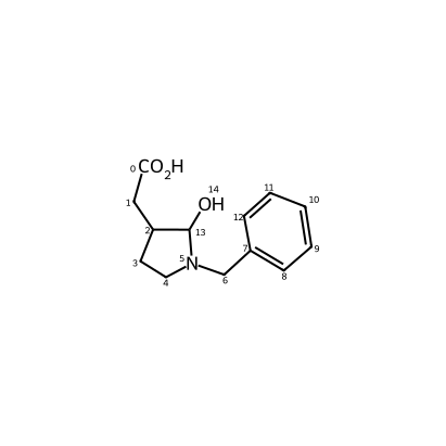 O=C(O)CC1CCN(Cc2ccccc2)C1O